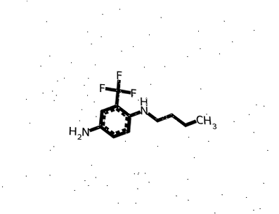 CCCCNc1ccc(N)cc1C(F)(F)F